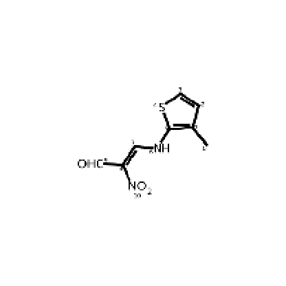 Cc1ccsc1NC=C(C=O)[N+](=O)[O-]